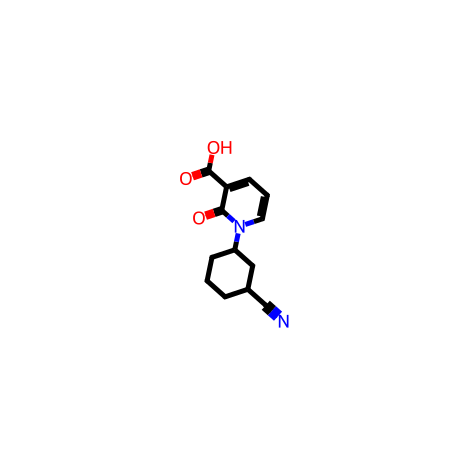 N#CC1CCCC(n2cccc(C(=O)O)c2=O)C1